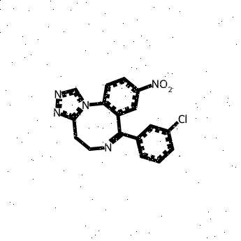 O=[N+]([O-])c1ccc2c(c1)C(c1cccc(Cl)c1)=NCCc1nncn1-2